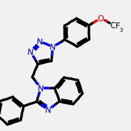 FC(F)(F)Oc1ccc(-n2cc(Cn3c(-c4ccccc4)nc4ccccc43)nn2)cc1